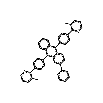 Cc1cccnc1-c1ccc(-c2c3ccccc3c(-c3ccc(-c4ncccc4C)cc3)c3cc(-c4ccccc4)ccc23)cc1